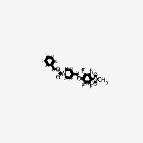 CS(=O)(=O)c1c(F)c(F)c(OCC2CCN(C(=O)OCc3ccccc3)CC2)c(F)c1F